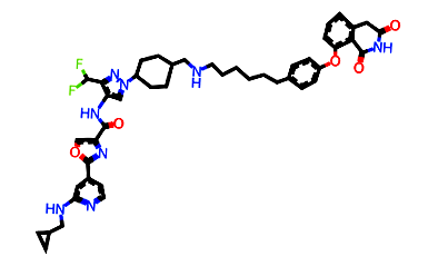 O=C1Cc2cccc(Oc3ccc(CCCCCCNCC4CCC(n5cc(NC(=O)c6coc(-c7ccnc(NCC8CC8)c7)n6)c(C(F)F)n5)CC4)cc3)c2C(=O)N1